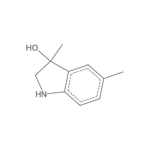 Cc1ccc2c(c1)C(C)(O)CN2